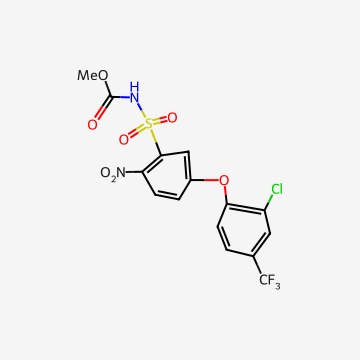 COC(=O)NS(=O)(=O)c1cc(Oc2ccc(C(F)(F)F)cc2Cl)ccc1[N+](=O)[O-]